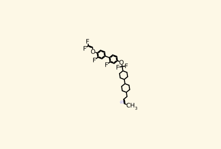 C/C=C\CC1CCC(C2CCC(C(F)(F)Oc3ccc(-c4ccc(OC=C(F)F)c(F)c4)c(F)c3)CC2)CC1